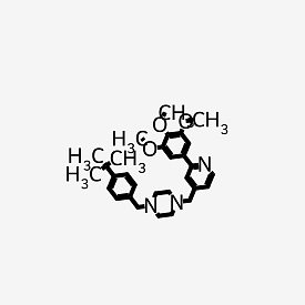 COc1cc(-c2cc(CN3CCN(Cc4ccc(C(C)(C)C)cc4)CC3)ccn2)cc(OC)c1OC